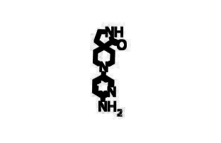 Nc1ccc(N2CCC3(CCNC3=O)CC2)cn1